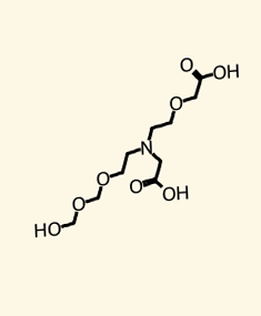 O=C(O)COCCN(CCOCOCO)CC(=O)O